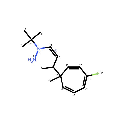 CC(/C=C\N(N)C(C)(C)C)C1(C)C=CC=C(F)C=C1